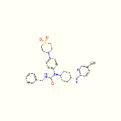 N#Cc1ccc(N[C@H]2CC[C@H](N(C(=O)NCc3ccccc3)c3ccc(N4CCS(=O)(=O)CC4)cc3)CC2)nc1